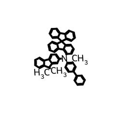 Cc1cc(-c2ccccc2)ccc1N(c1ccc2c(c1)C(C)(C)c1ccccc1-2)c1cccc2c1-c1ccccc1C21c2ccccc2-c2ccccc21